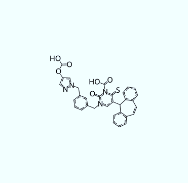 O=C(O)Oc1cnn(Cc2cccc(Cn3cc(C4c5ccccc5C=Cc5ccccc54)c(=S)n(C(=O)O)c3=O)c2)c1